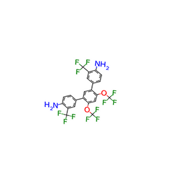 Nc1ccc(-c2cc(-c3ccc(N)c(C(F)(F)F)c3)c(OC(F)(F)F)cc2OC(F)(F)F)cc1C(F)(F)F